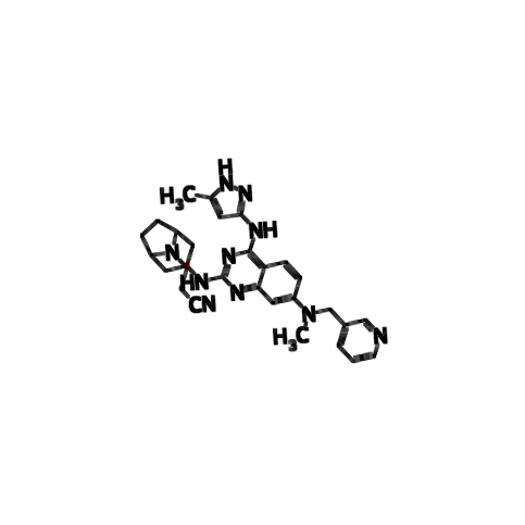 Cc1cc(Nc2nc(NC3CC4CCC(C3)N4CCC#N)nc3cc(N(C)Cc4cccnc4)ccc23)n[nH]1